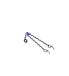 CCCCCCCCCCCCCCCCn1cc[n+](CCCc2ccccc2)c1CCCCCCCCCCCCCCC